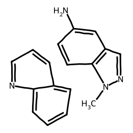 Cn1ncc2cc(N)ccc21.c1ccc2ncccc2c1